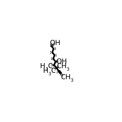 CC#CC(C)(C)C(C)C(O)CCCCCO